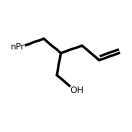 C=CCC(CO)CCCC